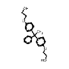 CC(c1ccccc1)(c1ccc(OCCO)cc1)c1ccc(OCCO)cc1